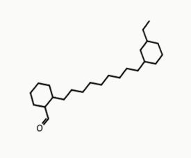 CCC1CCCC(CCCCCCCCCC2CCCCC2C=O)C1